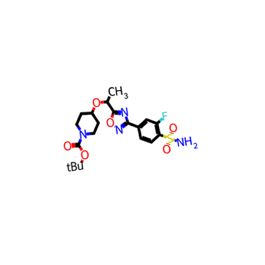 CC(OC1CCN(C(=O)OC(C)(C)C)CC1)c1nc(-c2ccc(S(N)(=O)=O)c(F)c2)no1